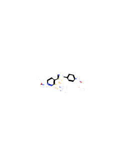 CC(C)OC(=O)Nc1ccc(-c2cnc(-c3ccc(NC(O)OC(C)C)cc3)s2)c(S(=O)(=O)NC(C)(C)C)c1